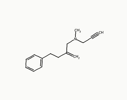 C#CCN(C)CC(=C)CCc1ccccc1